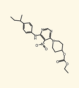 CCOC(=O)OC1CCN(c2ncnc(Nc3ccc(C(C)CC)cc3)c2[N+](=O)[O-])CC1